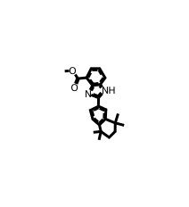 COC(=O)c1cccc2[nH]c(-c3ccc4c(c3)C(C)(C)CCC4(C)C)nc12